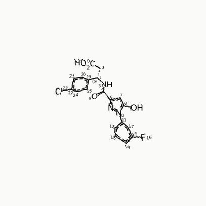 O=C(O)C[C@H](NC(=O)c1cc(O)n(-c2cccc(F)c2)n1)c1ccc(Cl)cc1